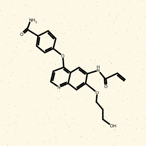 C=CC(=O)Nc1cc2c(Oc3ccc(C(N)=O)cc3)ccnc2cc1OCCCO